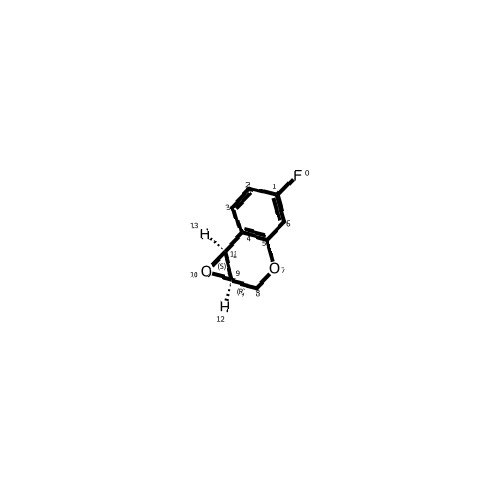 Fc1ccc2c(c1)OC[C@H]1O[C@@H]21